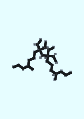 CCCN(C)CCC[Si](OC)(OC)O[Si](CCCN(C)CCC)(OC)OC